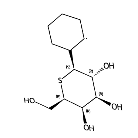 OC[C@H]1S[C@@H](C2[CH]CCCC2)[C@H](O)[C@@H](O)[C@H]1O